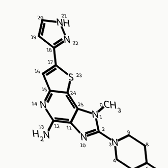 Cn1c(N2CCC(O)CC2)nc2c(N)nc3cc(-c4cc[nH]n4)sc3c21